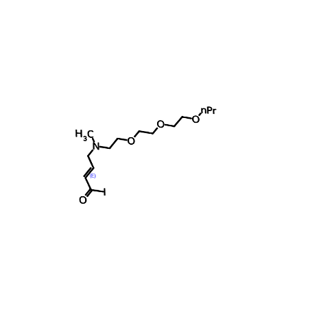 CCCOCCOCCOCCN(C)C/C=C/C(=O)I